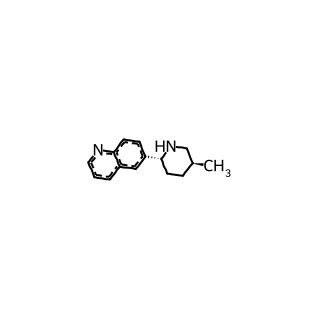 C[C@H]1CC[C@H](c2ccc3ncccc3c2)NC1